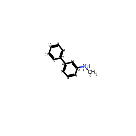 CNc1cccc(-c2cc[c]cc2)c1